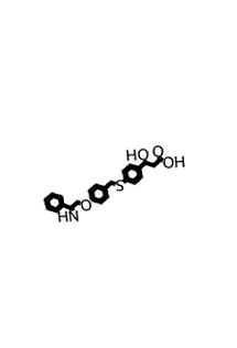 N=C(COc1ccc(CSc2ccc(C(O)CC(=O)O)cc2)cc1)c1ccccc1